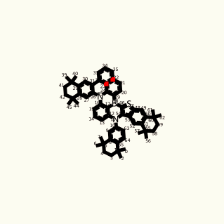 CC1(C)CCC(C)(C)c2cc(N3c4cccc5c4B(c4ccccc4N5c4cc5c(cc4-c4ccccc4)C(C)(C)CCC5(C)C)c4sc5cc6c(cc5c43)C(C)(C)CCC6(C)C)ccc21